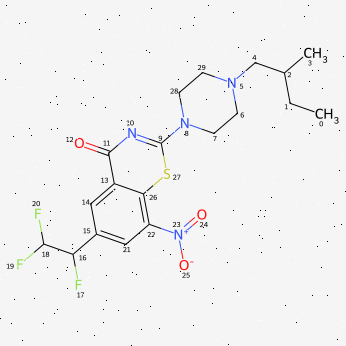 CCC(C)CN1CCN(c2nc(=O)c3cc(C(F)C(F)F)cc([N+](=O)[O-])c3s2)CC1